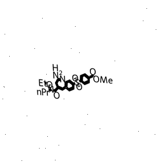 CCCN(OCC)C(=O)C1=Cc2ccc(S(=O)(=O)c3ccc(C(=O)OC)cc3)cc2N=C(N)C1